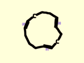 C1=C\CCC/C=C/CC/C=C/CCC/1